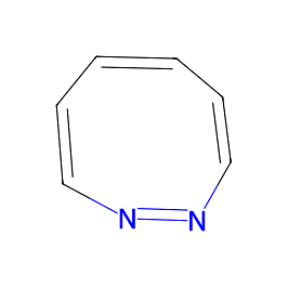 C1=CC=CN=NC=C1